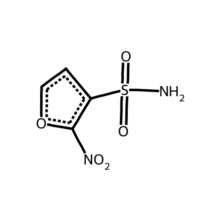 NS(=O)(=O)c1ccoc1[N+](=O)[O-]